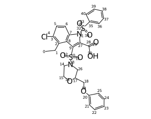 CCc1c(Cl)ccc2c1c(S(=O)(=O)N1CCOC(COc3ccccc3)C1)c(C(=O)O)n2S(=O)(=O)c1ccccc1